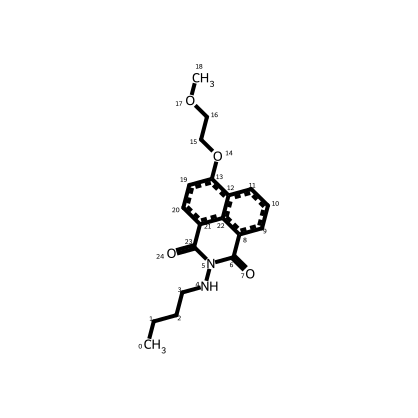 CCCCNN1C(=O)c2cccc3c(OCCOC)ccc(c23)C1=O